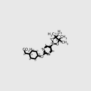 CC1(C)OB(c2cnc(OC3CCC(CC(=O)O)CC3)nc2)OC1(C)C